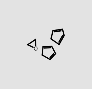 C1=CCC=C1.C1=CCC=C1.C1CO1